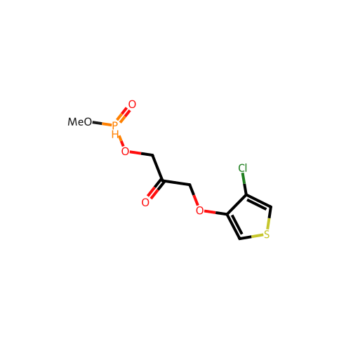 CO[PH](=O)OCC(=O)COc1cscc1Cl